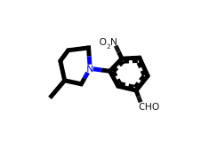 CC1CCCN(c2cc(C=O)ccc2[N+](=O)[O-])C1